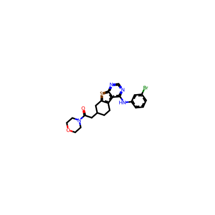 O=C(CC1CCc2c(sc3ncnc(Nc4cccc(Br)c4)c23)C1)N1CCOCC1